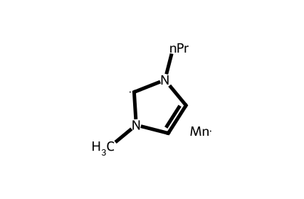 CCCN1[CH]N(C)C=C1.[Mn]